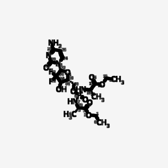 CCOC(=O)[C@H](C)NP(=O)(N[C@@H](C)C(=O)OCC)OC[C@H]1O[C@@H](n2ccc(N)nc2=O)C(F)(F)C1O